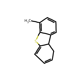 Cc1cccc2c1SC1=CC=CCC12